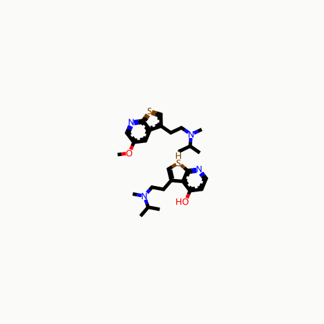 COc1cnc2scc(CCN(C)C(C)C[SH]3C=C(CCN(C)C(C)C)c4c(O)ccnc43)c2c1